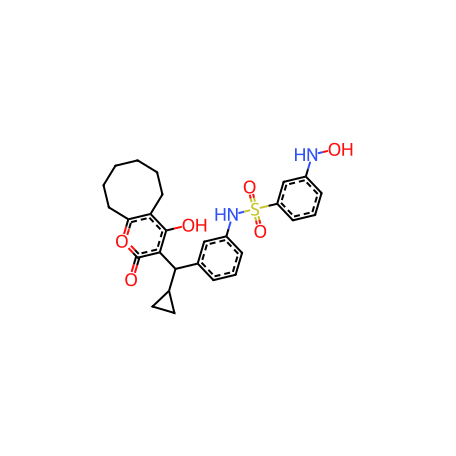 O=c1oc2c(c(O)c1C(c1cccc(NS(=O)(=O)c3cccc(NO)c3)c1)C1CC1)CCCCCC2